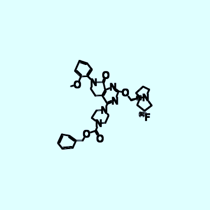 COc1ccccc1N1CCc2c(nc(OC[C@@]34CCCN3C[C@H](F)C4)nc2N2CCN(C(=O)OCc3ccccc3)CC2)C1=O